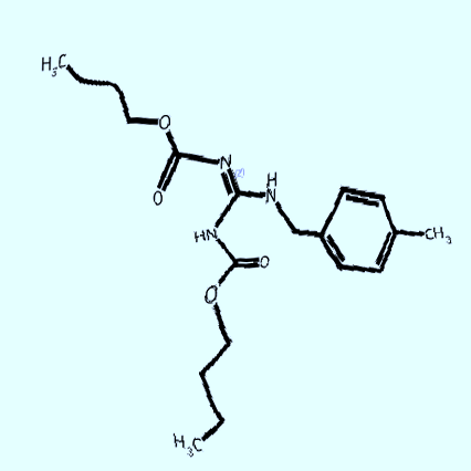 CCCCOC(=O)/N=C(/NCc1ccc(C)cc1)NC(=O)OCCCC